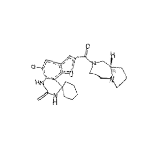 C=C1Nc2c(Cl)cc3cc(C(=O)N4CCN5CCC[C@H]5C4)oc3c2C2(CCCCC2)N1